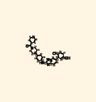 O=C(c1ccncc1)N1CCN(c2ccc(Nc3nc4ccc(-c5cc(O)ccc5Cl)cn4n3)cc2)CC1